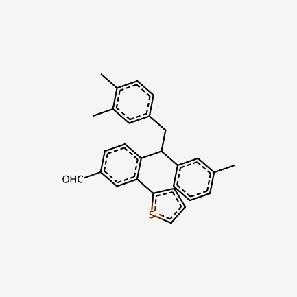 Cc1cccc(C(Cc2ccc(C)c(C)c2)c2ccc(C=O)cc2-c2cccs2)c1